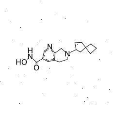 O=C(NO)c1cnc2c(c1)CCN(C1CCC3(CCC3)C1)C2